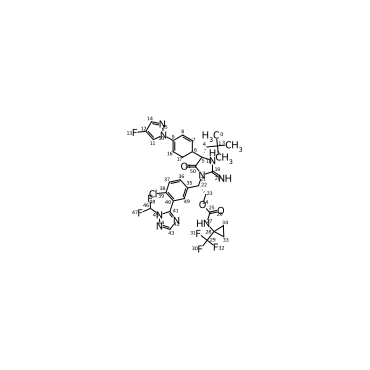 CC(C)(C)C[C@]1(C2C=CC(n3cc(F)cn3)=CC2)NC(=N)N([C@H](COC(=O)NC2(C(F)(F)F)CC2)c2ccc(Cl)c(-c3ncnn3C(F)F)c2)C1=O